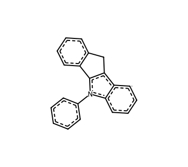 [c]1cccc2c1c1c(n2-c2ccccc2)-c2ccccc2C1